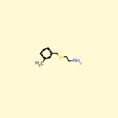 Cc1cccc(CSCCN)c1